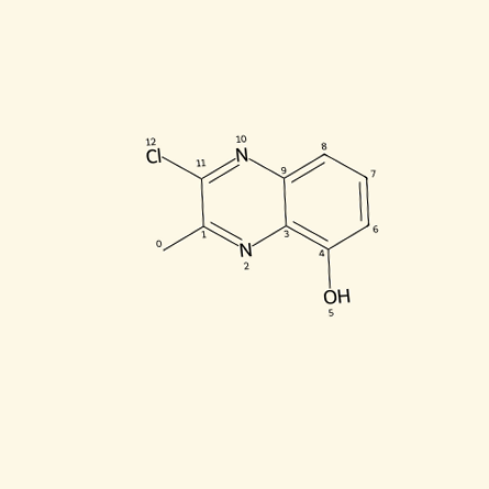 Cc1nc2c(O)cccc2nc1Cl